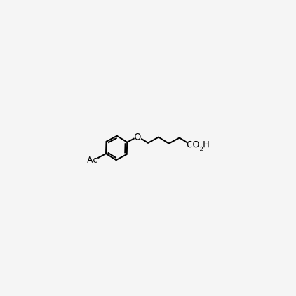 CC(=O)c1ccc(OCCCCC(=O)O)cc1